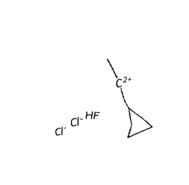 C[C+2]C1CC1.F.[Cl-].[Cl-]